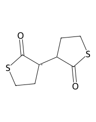 O=C1SCC[C]1C1CCSC1=O